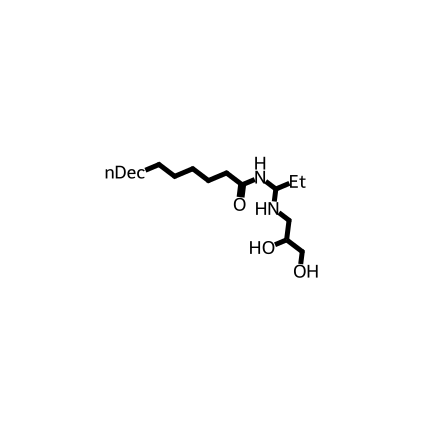 CCCCCCCCCCCCCCCC(=O)NC(CC)NCC(O)CO